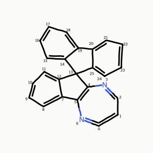 C1=CC=NC2=C(N=1)c1ccccc1C21c2ccccc2-c2ccccc21